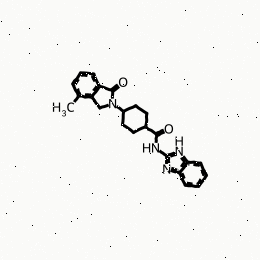 Cc1cccc2c1CN(C1CCC(C(=O)Nc3nc4ccccc4[nH]3)CC1)C2=O